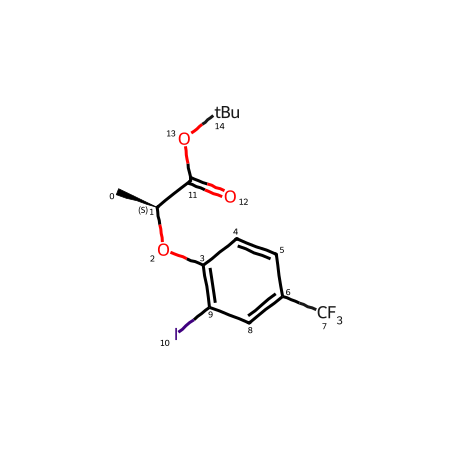 C[C@H](Oc1ccc(C(F)(F)F)cc1I)C(=O)OC(C)(C)C